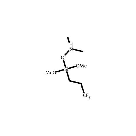 CO[Si](CCC(F)(F)F)(OC)O[SiH](C)C